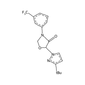 CC(C)(C)c1ccn(C2OCN(c3cccc(C(F)(F)F)c3)C2=O)n1